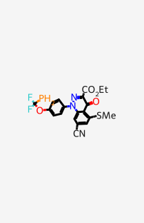 CCOC(=O)c1nn(-c2ccc(OC(F)(F)P)cc2)c2cc(C#N)cc(SC)c2c1=O